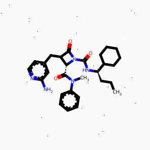 CCC[C@@H](NC(=O)N1C(=O)C(Cc2ccnc(N)c2)[C@H]1C(=O)N(C)c1ccccc1)C1CCCCC1